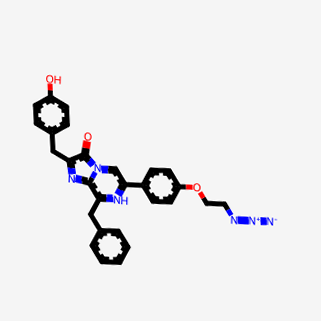 [N-]=[N+]=NCCOc1ccc(-c2cn3c(=O)c(Cc4ccc(O)cc4)nc-3c(Cc3ccccc3)[nH]2)cc1